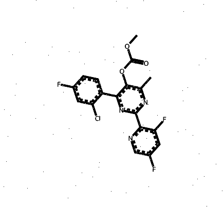 COC(=O)Oc1c(C)nc(-c2ncc(F)cc2F)nc1-c1ccc(F)cc1Cl